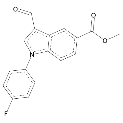 COC(=O)c1ccc2c(c1)c(C=O)cn2-c1ccc(F)cc1